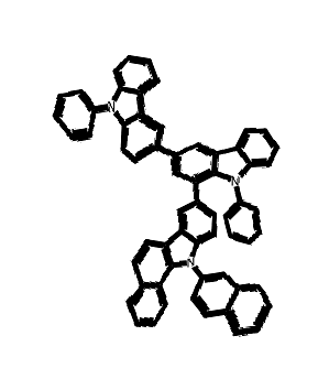 c1ccc(-n2c3ccccc3c3cc(-c4cc(-c5ccc6c(c5)c5ccc7ccccc7c5n6-c5ccc6ccccc6c5)c5c(c4)c4ccccc4n5-c4ccccc4)ccc32)cc1